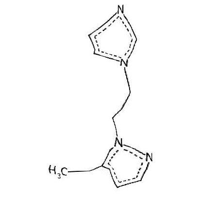 Cc1ccnn1CCn1ccnc1